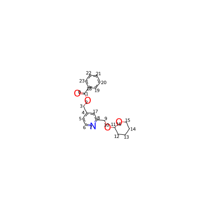 O=C(OCc1ccnc(COC2CCCCO2)c1)c1ccccc1